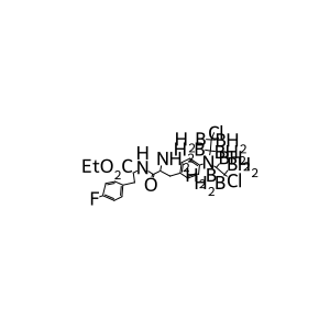 BC(B)(Cl)C(B)(B)N(c1ccc(CC(N)C(=O)NC(Cc2ccc(F)cc2)C(=O)OCC)cc1)C(B)(B)C(B)(B)Cl